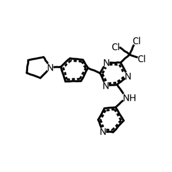 ClC(Cl)(Cl)c1nc(Nc2ccncc2)nc(-c2ccc(N3CCCC3)cc2)n1